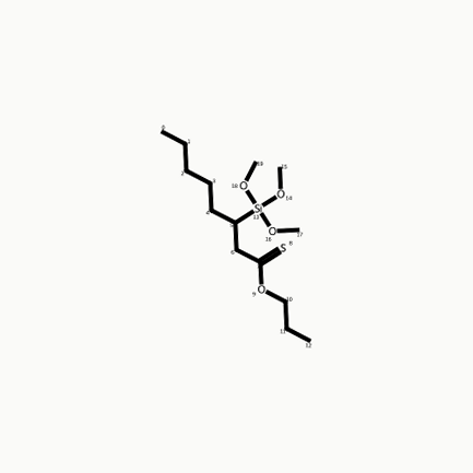 CCCCCC(CC(=S)OCCC)[Si](OC)(OC)OC